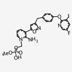 COP(=O)(O)OC[n+]1cccc(-c2cc(Cc3ccc(Oc4ncc(F)cc4F)cc3)no2)c1N